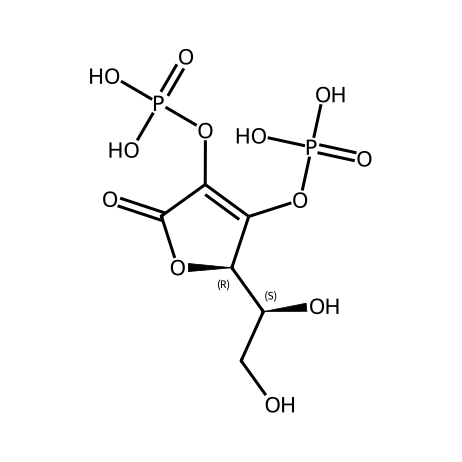 O=C1O[C@H]([C@@H](O)CO)C(OP(=O)(O)O)=C1OP(=O)(O)O